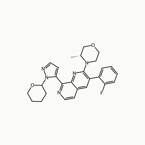 C[C@@H]1COCCN1c1nc2c(-c3ccnn3C3CCCCO3)nccc2cc1-c1ccccc1F